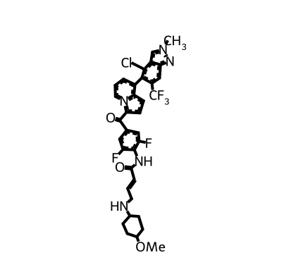 COC1CCC(NC/C=C/C(=O)Nc2c(F)cc(C(=O)c3ccc4c(-c5c(C(F)(F)F)cc6nn(C)cc6c5Cl)cccn34)cc2F)CC1